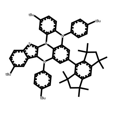 CC(C)(C)c1ccc(N2c3ccc(C(C)(C)C)cc3B3c4sc5ccc(C(C)(C)C)cc5c4N(c4ccc(C(C)(C)C)cc4)c4cc(-c5c6c(cc7c5C(C)(C)CC7(C)C)C(C)(C)CC6(C)C)cc2c43)cc1